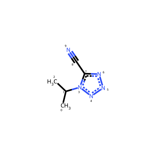 CC(C)n1nnnc1C#N